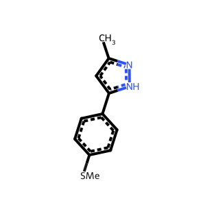 CSc1ccc(-c2cc(C)n[nH]2)cc1